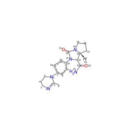 CC1=NCCCN1c1ccc(N2C(=O)N3CC[CH][C@@H]3C2C(N)=O)cc1